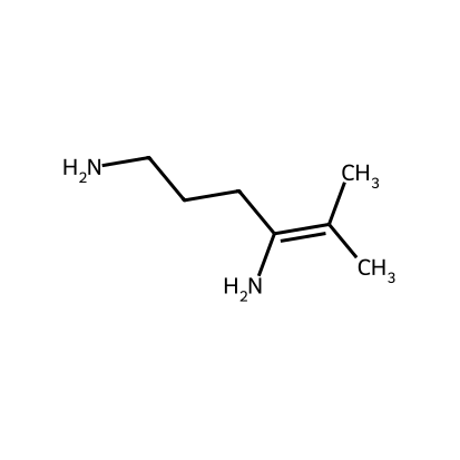 CC(C)=C(N)CCCN